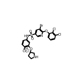 C[C@@]1(Oc2cc(NS(=O)(=O)c3cnc(Oc4cccc(Cl)c4Cl)c(Br)c3)ccc2Cl)CCNC1